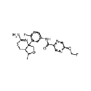 CC1OCC2(c3cc(NC(=O)c4cnc(OCF)cn4)ccc3F)N=C(N)SCC12